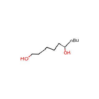 CCCCC(O)CCCCCO